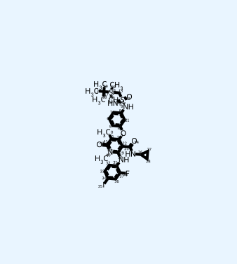 Cc1c(Oc2cccc(NS(=N)(=O)C[Si](C)(C)C(C)(C)C)c2)c(C(=O)NC2CC2)c(Nc2ccc(I)cc2F)n(C)c1=O